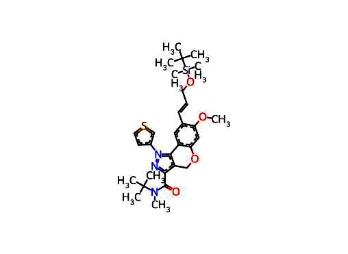 COc1cc2c(cc1C=CCO[Si](C)(C)C(C)(C)C)-c1c(c(C(=O)N(C)C(C)(C)C)nn1-c1ccsc1)CO2